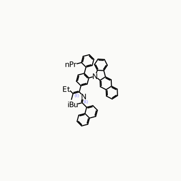 CCCc1ccccc1-c1ccc(C(/N=C(/c2cccc3ccccc23)C(C)CC)=C(/C)CC)cc1-n1c2ccccc2c2cc3ccccc3cc21